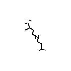 CC(C)CC[N-]CCC(C)C.[Li+]